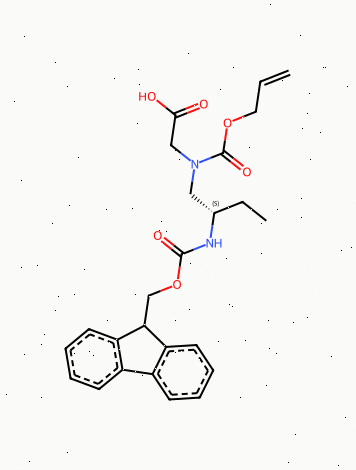 C=CCOC(=O)N(CC(=O)O)C[C@H](CC)NC(=O)OCC1c2ccccc2-c2ccccc21